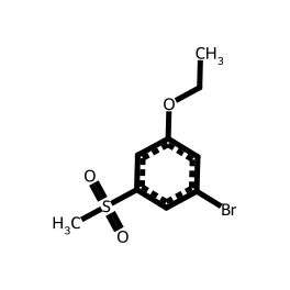 CCOc1cc(Br)cc(S(C)(=O)=O)c1